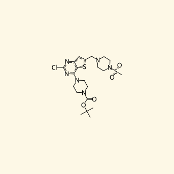 CC(C)(C)OC(=O)N1CCN(c2nc(Cl)nc3cc(CN4CCN(S(C)(=O)=O)CC4)sc23)CC1